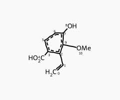 C=Cc1c(C(=O)O)ccc(O)c1OC